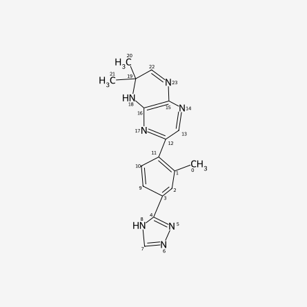 Cc1cc(-c2nnc[nH]2)ccc1-c1cnc2c(n1)NC(C)(C)C=N2